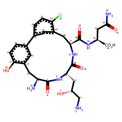 NC[C@H](O)C[C@@H]1NC(=O)[C@@H](N)Cc2cc(ccc2O)-c2ccc(Cl)c(c2)C[C@@H](C(=O)N[C@@H](CC(N)=O)C(=O)O)NC1=O